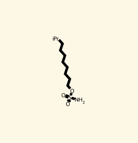 CC(C)CCCCCCCCOS(N)(=O)=O